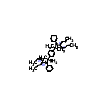 BC(C)(c1ccc(C(C)(C)N(C(/C=C\C=C)=C/C=C)c2ccccc2)cc1)N(C(/C=C\C)=C/C=C)c1ccccc1